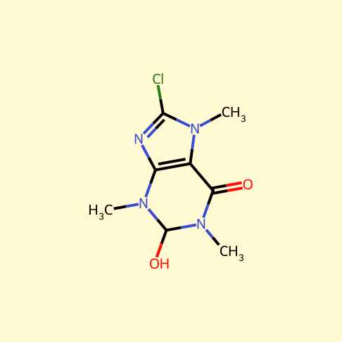 CN1C(=O)c2c(nc(Cl)n2C)N(C)C1O